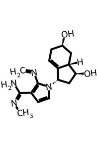 C=Nc1c(/C(N)=N\C)ccn1[C@H]1C[C@H](O)[C@H]2C[C@H](O)CC=C21